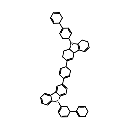 C1=CCC(C2=CCC(N3C4=C(C=CCC4)C4C=C(C5C=CC(c6ccc7c(c6)c6ccccc6n7C6=CC=CC(C7=CCCC=C7)C6)=CC5)CCC43)C=C2)C=C1